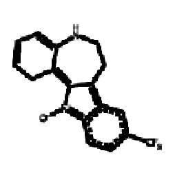 [O-][N+]1=c2ccc(C(F)(F)F)cc2=C2CCNC3=CC=CCC3=C21